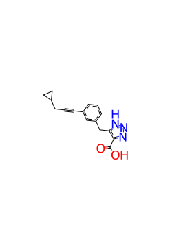 O=C(O)c1nn[nH]c1Cc1cccc(C#CCC2CC2)c1